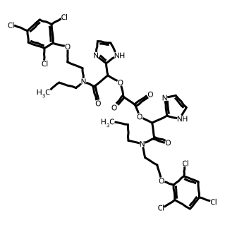 CCCN(CCOc1c(Cl)cc(Cl)cc1Cl)C(=O)C(OC(=O)C(=O)OC(C(=O)N(CCC)CCOc1c(Cl)cc(Cl)cc1Cl)c1ncc[nH]1)c1ncc[nH]1